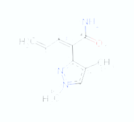 C=C/C=C(/C(N)=O)c1nn(C)cc1C